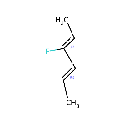 C/C=C(F)/C=C/C